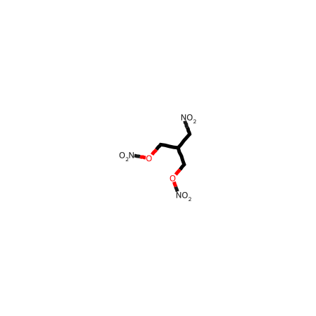 O=[N+]([O-])CC(CO[N+](=O)[O-])CO[N+](=O)[O-]